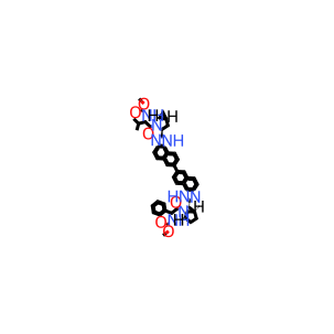 COC(=O)N[C@H](C(=O)N1[C@@H]2C[C@@H]2C[C@H]1c1nc2ccc3cc(-c4ccc5c(ccc6nc([C@@H]7[C@H]8CC[C@H](C8)N7C(=O)[C@H](NC(=O)OC)c7ccccc7)[nH]c65)c4)ccc3c2[nH]1)C(C)C